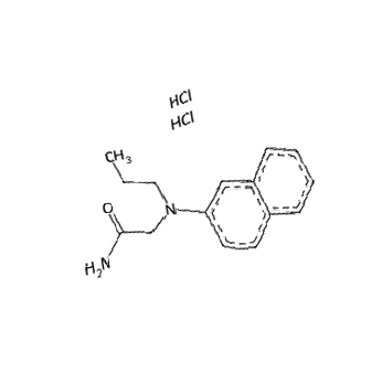 CCCN(CC(N)=O)c1ccc2ccccc2c1.Cl.Cl